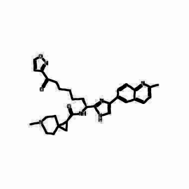 Cc1ccc2cc(-c3c[nH]c([C@H](CCCCCC(=O)c4ccon4)NC(=O)[C@H]4CC45CCN(C)CC5)n3)ccc2n1